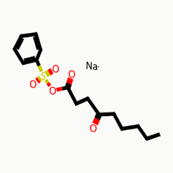 CCCCCC(=O)CCC(=O)OS(=O)(=O)c1ccccc1.[Na]